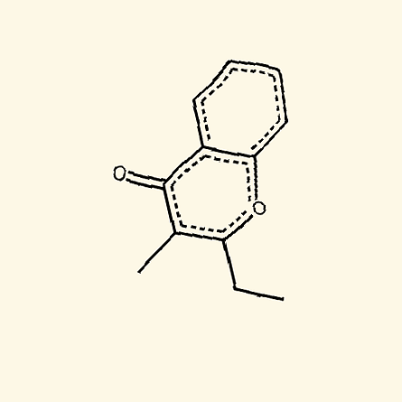 CCc1oc2ccccc2c(=O)c1C